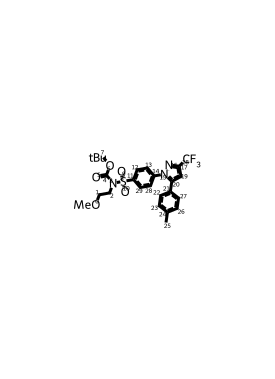 COCCN(C(=O)OC(C)(C)C)S(=O)(=O)c1ccc(-n2nc(C(F)(F)F)cc2-c2ccc(C)cc2)cc1